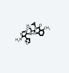 CCC(Nc1ncnc(N)c1-c1ccon1)c1nc2cccc(C)c2c(=O)n1C1CC1